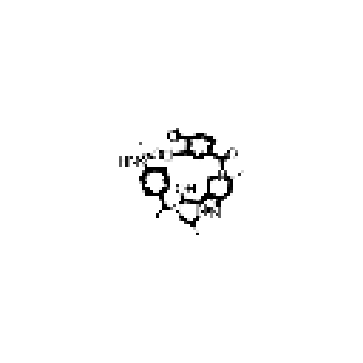 C[C@@H]1Cc2nn3c(c2CN1C(=O)c1ccc(Cl)c(Cl)c1)C(O)N([C@@H](C)c1ccc([S@@](C)(=N)=O)cc1)C[C@H]3C